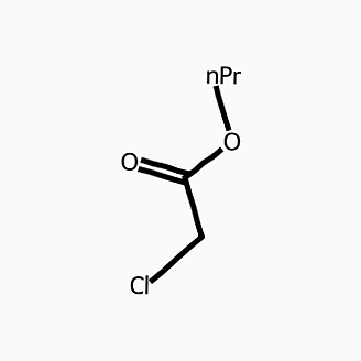 CCCOC(=O)CCl